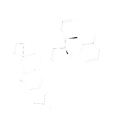 CC(=O)N[C@@H](Cc1ccccc1F)[C@@H](O)CN[C@H]1CC2(CCC2)Oc2ncc(CC(C)(C)C)cc21